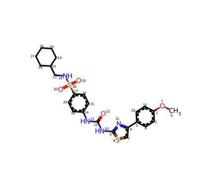 COc1ccc(-c2csc(NC(=O)Nc3ccc(S(=O)(=O)NCC4CCCCC4)cc3)n2)cc1